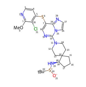 COc1nccc(Sc2cnc(N3CCC4(CCC[C@H]4N[S+]([O-])C(C)(C)C)CC3)n3ccnc23)c1Cl